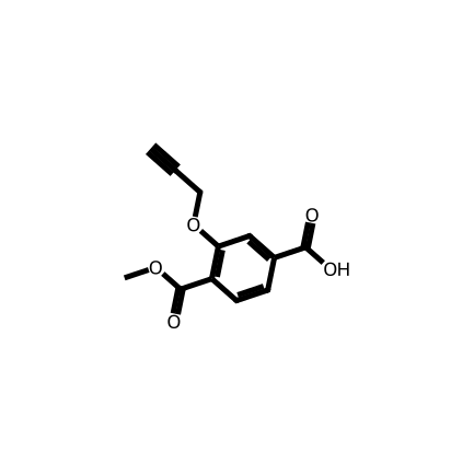 C#CCOc1cc(C(=O)O)ccc1C(=O)OC